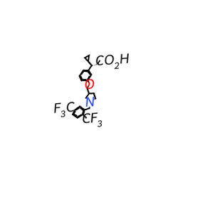 O=C(O)C[C@H](c1cccc(OCC2CCN(Cc3cc(C(F)(F)F)ccc3C(F)(F)F)C2)c1)C1CC1